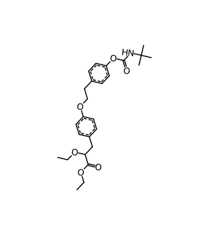 CCOC(=O)C(Cc1ccc(OCCc2ccc(OC(=O)NC(C)(C)C)cc2)cc1)OCC